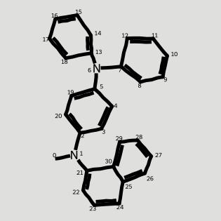 CN(c1ccc(N(c2ccccc2)c2ccccc2)cc1)c1cccc2ccccc12